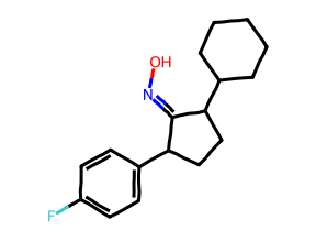 ON=C1C(c2ccc(F)cc2)CCC1C1CCCCC1